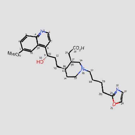 COc1ccc2nccc([C@@H](O)CC[C@@H]3CCN(CCCCc4ncco4)C[C@@H]3CC(=O)O)c2c1